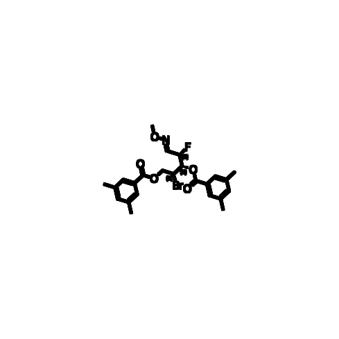 CON=C[C@@H](F)[C@H](OC(=O)c1cc(C)cc(C)c1)[C@@H](Br)COC(=O)c1cc(C)cc(C)c1